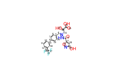 O=C(NN(Cc1ccc(-c2cccc(C(F)(F)F)c2)cc1)C[C@@H](O)C(=O)O)c1cc(O)no1